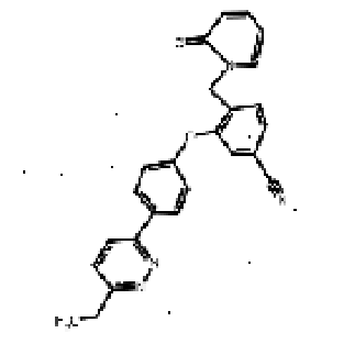 CCc1ccc(-c2ccc(Oc3cc(C#N)ccc3Cn3ccccc3=O)cc2)nn1